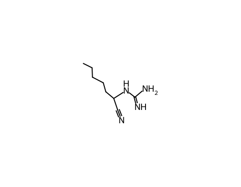 CCCCCC(C#N)NC(=N)N